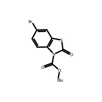 CC(C)(C)OC(=O)n1c(=O)sc2cc(Br)ccc21